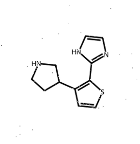 c1c[nH]c(-c2sccc2C2CCNC2)n1